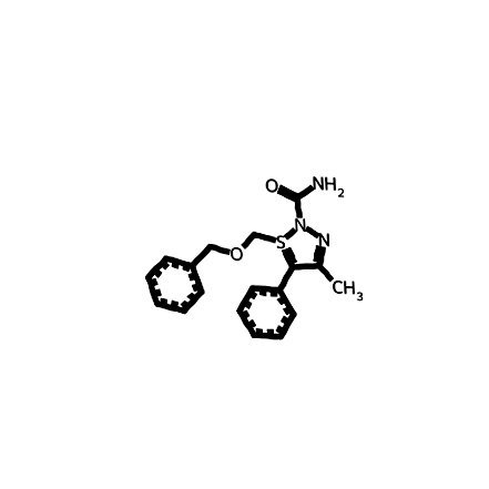 CC1=NN(C(N)=O)S(COCc2ccccc2)=C1c1ccccc1